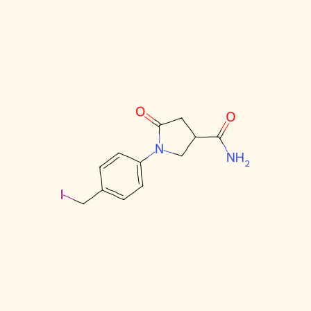 NC(=O)C1CC(=O)N(c2ccc(CI)cc2)C1